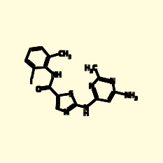 Cc1nc(N)cc(Nc2ncc(C(=O)Nc3c(C)cccc3I)s2)n1